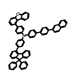 c1ccc(C2(c3ccccc3)c3ccccc3-c3c(-c4ccc(N(c5ccc(-c6ccc(-c7ccc8ccccc8c7)cc6)cc5)c5ccc(-c6cccc7oc8ccccc8c67)cc5)cc4)cccc32)cc1